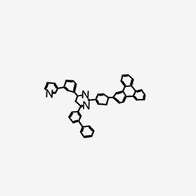 C1=CC(c2ccc3c4ccccc4c4ccccc4c3c2)CC=C1C1=NC(c2cccc(-c3cccnc3)c2)CC(c2cccc(-c3ccccc3)c2)=N1